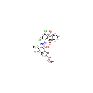 Cc1c(/N=N/c2c(Cl)cc(Cl)c3c2C(=O)c2ccccc2C3=O)c(O)n(CCCOC(C)C)c(=O)c1C#N